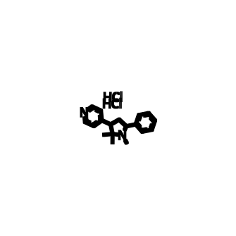 CN1C(c2ccccc2)CC(c2ccncc2)C1(C)C.Cl.Cl